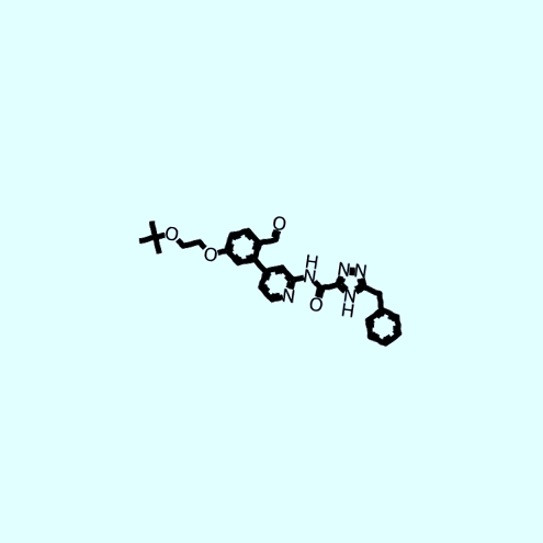 CC(C)(C)OCCOc1ccc(C=O)c(-c2ccnc(NC(=O)c3nnc(Cc4ccccc4)[nH]3)c2)c1